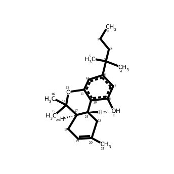 CCCC(C)(C)c1cc(O)c2c(c1)OC(C)(C)[C@@H]1CC=C(C)C[C@@H]21